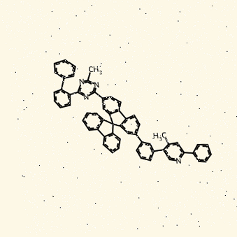 Cc1nc(-c2ccc3c(c2)C2(c4ccccc4-c4ccccc42)c2cc(-c4cccc(-c5cnc(-c6ccccc6)cc5C)c4)ccc2-3)nc(-c2ccccc2-c2ccccc2)n1